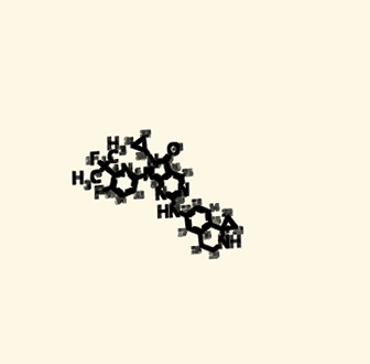 CC(C)(F)c1nc(-n2c3nc(Nc4ccc5c(c4)CCNC54CC4)ncc3c(=O)n2C2CC2)ccc1F